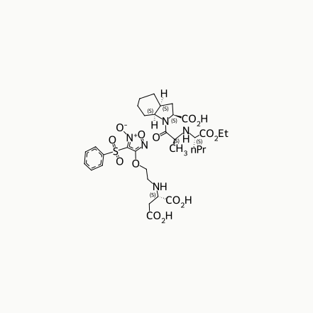 CCC[C@H](N[C@@H](C)C(=O)N1[C@H](C(=O)O)C[C@@H]2CCCC[C@@H]21)C(=O)OCC.O=C(O)C[C@H](NCCOc1no[n+]([O-])c1S(=O)(=O)c1ccccc1)C(=O)O